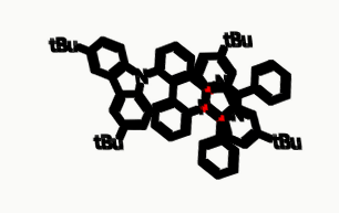 CC(C)(C)c1ccc2c(c1)c1cc(C(C)(C)C)ccc1n2-c1ccccc1-c1c(-c2cc(-c3ccccc3)nc(-c3ccccc3)n2)cccc1-n1c2ccc(C(C)(C)C)cc2c2cc(C(C)(C)C)ccc21